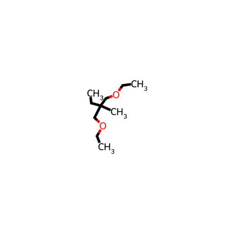 CCOCC(C)(CC)COCC